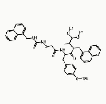 CCOC(OCC)C(C)N(Cc1cccc2ccccc12)C(=O)C(Cc1ccc(OC(C)(C)C)cc1)NC(=O)CONC(=O)NCc1cccc2ccccc12